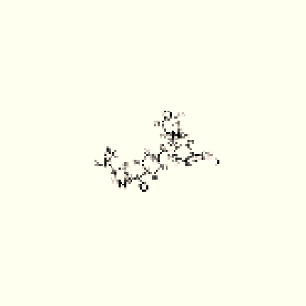 CC(=O)N(C)c1cnn(C(=O)N2CCN(Cc3ccc(C(F)(F)F)cc3N3C4CCC3COC4)CC2)c1